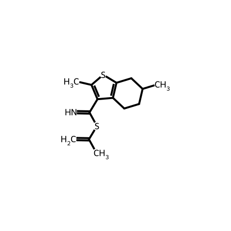 C=C(C)SC(=N)c1c(C)sc2c1CCC(C)C2